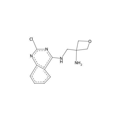 NC1(CNc2nc(Cl)nc3ccccc23)COC1